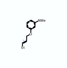 CC/C=C/COc1cccc(NC)c1